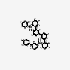 Cc1ccc(-c2cccc(Nc3ccccc3-c3cccc(-c4cccc(-c5ccccc5Nc5ccccc5)c4)c3)c2)cc1